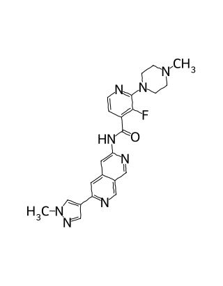 CN1CCN(c2nccc(C(=O)Nc3cc4cc(-c5cnn(C)c5)ncc4cn3)c2F)CC1